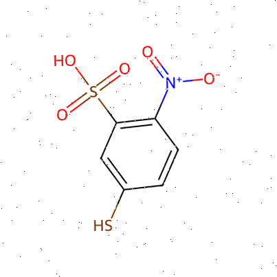 O=[N+]([O-])c1ccc(S)cc1S(=O)(=O)O